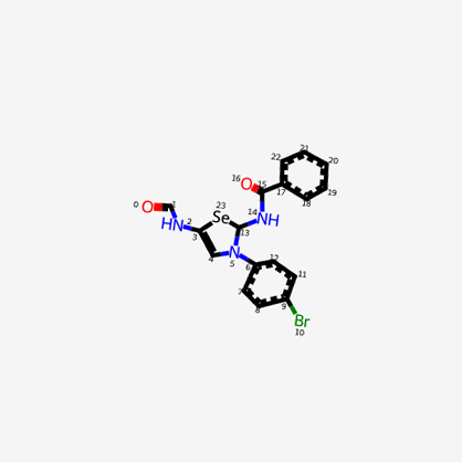 O=CNC1=CN(c2ccc(Br)cc2)C(NC(=O)c2ccccc2)[Se]1